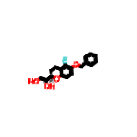 OC[C@H](O)[C@H]1CCc2c(ccc(OCc3ccccc3)c2F)O1